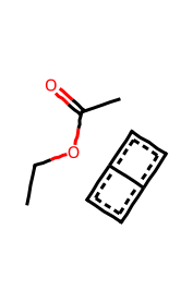 CCOC(C)=O.c1cc2ccc1-2